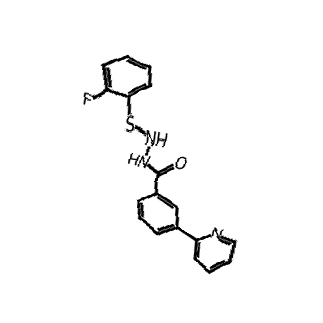 O=C(NNSc1ccccc1F)c1cccc(-c2ccccn2)c1